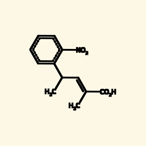 CC(=CC(C)c1ccccc1[N+](=O)[O-])C(=O)O